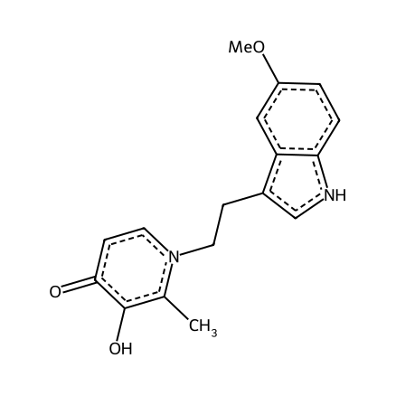 COc1ccc2[nH]cc(CCn3ccc(=O)c(O)c3C)c2c1